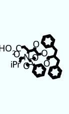 CC(C)C(=O)N(C(CC(=O)O)C(=O)COC(=O)C(Cc1ccccc1)Cc1ccccc1)S(=O)(=O)c1ccccc1